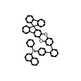 c1ccc(N(c2ccc(-c3ccccc3-c3ccc4c(c3)Oc3cc5c(cc3O4)C3(c4ccccc4-c4ccccc43)c3ccccc3-5)cc2)c2cccc3ccccc23)cc1